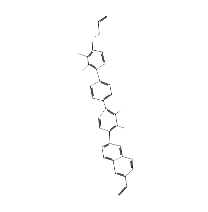 C=CCOc1ccc(-c2ccc(-c3ccc(-c4ccc5cc(C=C)ccc5c4)c(F)c3F)cc2)c(F)c1F